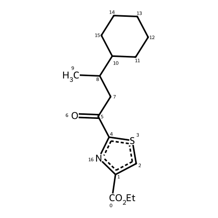 CCOC(=O)c1csc(C(=O)CC(C)C2CCCCC2)n1